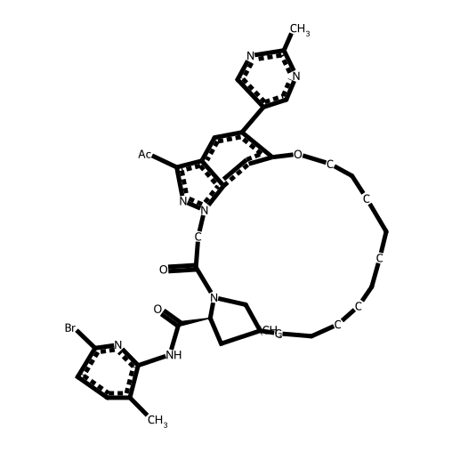 CC(=O)c1nn2c3cc(c(-c4cnc(C)nc4)cc13)OCCCCCCCCCC[C@]1(C)C[C@@H](C(=O)Nc3nc(Br)ccc3C)N(C1)C(=O)C2